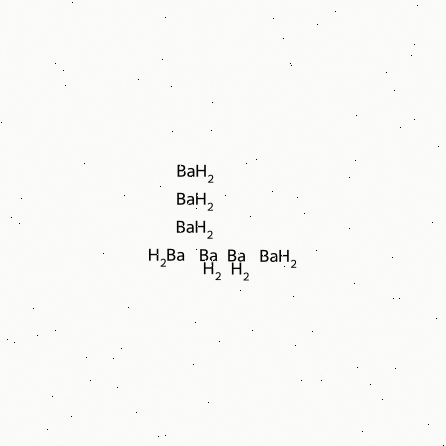 [BaH2].[BaH2].[BaH2].[BaH2].[BaH2].[BaH2].[BaH2]